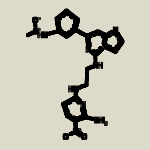 C[S+]([O-])Nc1cccc(-c2cc3nccn3c(NCCNc3ccc([N+](=O)[O-])c(N)n3)n2)c1